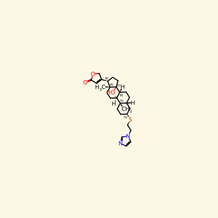 C[C@]12CC[C@H](SCCn3ccnc3)C[C@H]1CC[C@@H]1[C@@H]2CC[C@]2(C)[C@@H](C3=CC(=O)OC3)CC[C@]12O